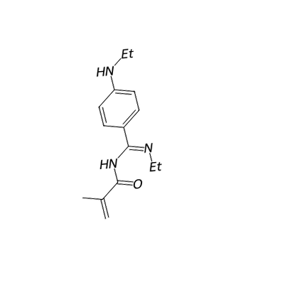 C=C(C)C(=O)NC(=NCC)c1ccc(NCC)cc1